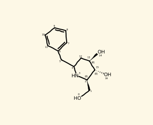 OC[C@H]1NC(Cc2ccccc2)C[C@@H](O)[C@@H]1O